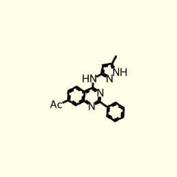 CC(=O)c1ccc2c(Nc3cc(C)[nH]n3)nc(-c3ccccc3)nc2c1